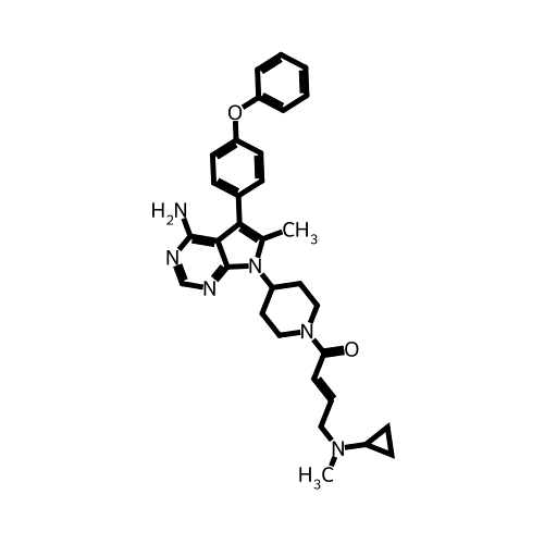 Cc1c(-c2ccc(Oc3ccccc3)cc2)c2c(N)ncnc2n1C1CCN(C(=O)/C=C/CN(C)C2CC2)CC1